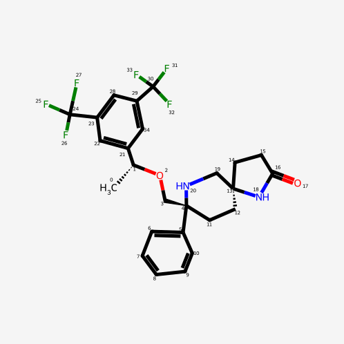 C[C@@H](OC[C@]1(c2ccccc2)CC[C@@]2(CCC(=O)N2)CN1)c1cc(C(F)(F)F)cc(C(F)(F)F)c1